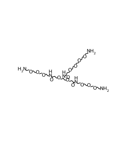 NCCOCCOCCOCCNC(=O)CCOCC(COCCC(=O)NCCOCCOCCOCCN)NC(=O)CCOCCOCCOCCOCCN